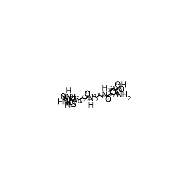 Nc1cc(C(=O)NCCCCNC(=O)CCCC[C@@H]2SC[C@@H]3NC(=O)N[C@@H]32)ccc1C(=O)O